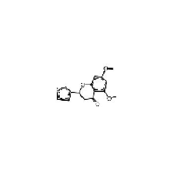 COc1cc(OC)c2c(c1)OC(c1ccsc1)CC2=O